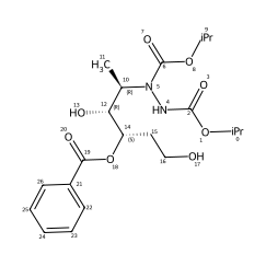 CC(C)OC(=O)NN(C(=O)OC(C)C)[C@H](C)[C@@H](O)[C@H](CCO)OC(=O)c1ccccc1